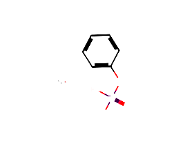 O.O=P(O)(O)Oc1ccccc1.[NaH]